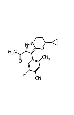 Cc1cc(C#N)c(F)cc1-c1c(C(N)=O)nn2c1OC(C1CC1)CC2